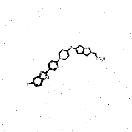 O=C(O)CC1CC2CC(OC3CCN(c4ccc(-c5nc6cc(F)ccc6[nH]5)cn4)CC3)CC2C1